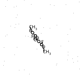 CCCCOc1ccc(C2CCC(C(=O)Oc3ccc(C4CCC(OCCC)CC4)c(F)c3F)CC2)c(F)c1